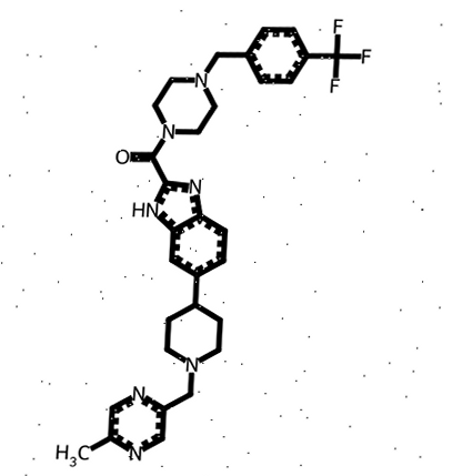 Cc1cnc(CN2CCC(c3ccc4nc(C(=O)N5CCN(Cc6ccc(C(F)(F)F)cc6)CC5)[nH]c4c3)CC2)cn1